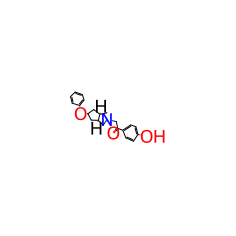 O=C(CN1C[C@H]2C[C@H](Oc3ccccc3)C[C@H]2C1)c1ccc(O)cc1